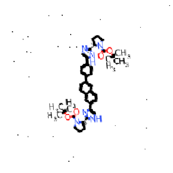 CC(C)(C)OC(=O)N1CCC[C@H]1c1nc(-c2ccc3cc(-c4ccc(-c5cnc([C@@H]6CCCN6C(=O)OC(C)(C)C)[nH]5)cc4)ccc3c2)c[nH]1